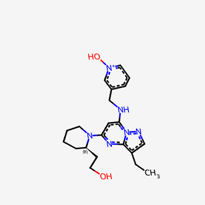 CCc1cnn2c(NCc3ccc[n+](O)c3)cc(N3CCCC[C@@H]3CCO)nc12